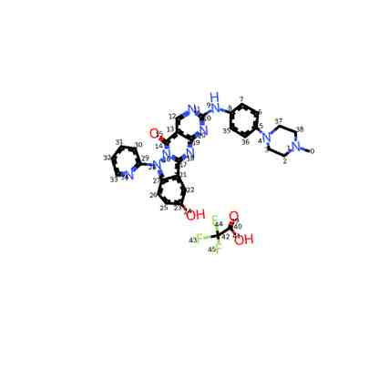 CN1CCN(c2ccc(Nc3ncc4c(=O)n5c(nc4n3)c3cc(O)ccc3n5-c3ccccn3)cc2)CC1.O=C(O)C(F)(F)F